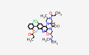 C=CC(=O)Oc1cccc(F)c1-c1c(Cl)cc2c3c4c(nc2c1F)O[C@H](CN(C)C)CN4C(=C=O)[C@H]1CN(C(=O)C=C)[C@H](C)CN31